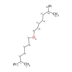 CC(C)C(C)CCCCCOCCCCCC(C)C(C)C